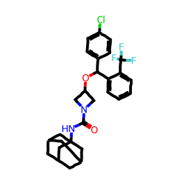 O=C(NC12CC3CC(CC(C3)C1)C2)N1CC(OC(c2ccc(Cl)cc2)c2ccccc2C(F)(F)F)C1